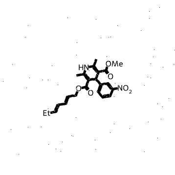 CC/C=C/C=C/COC(=O)C1=C(C)NC(C)=C(C(=O)OC)C1c1cccc([N+](=O)[O-])c1